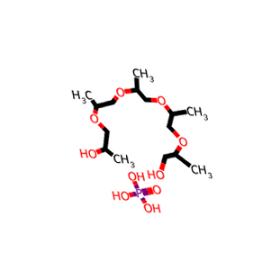 CC(O)COC(C)COC(C)COC(C)COC(C)CO.O=P(O)(O)O